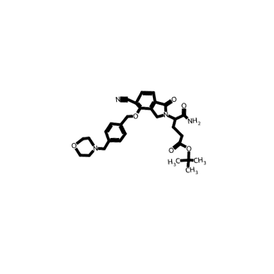 CC(C)(C)OC(=O)CCC(C(N)=O)N1Cc2c(ccc(C#N)c2OCc2ccc(CN3CCOCC3)cc2)C1=O